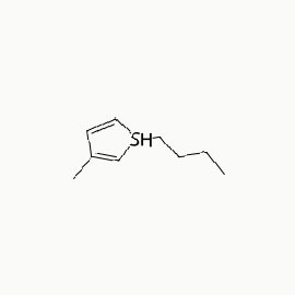 CCCC[SH]1C=CC(C)=C1